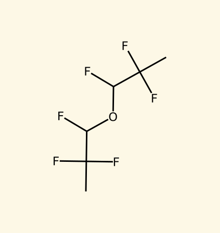 CC(F)(F)C(F)OC(F)C(C)(F)F